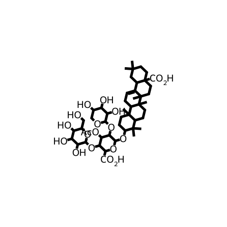 CC(=O)OC1C(OC2OCC(O)C(O)C2O)C(OC2CCC3(C)C(CCC4(C)C3CC=C3C5CC(C)(C)CCC5(C(=O)O)CCC34C)C2(C)C)OC(C(=O)O)C1OC1OC(CO)C(O)C(O)C1O